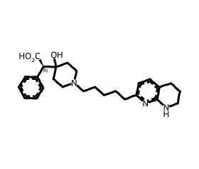 O=C(O)[C@H](c1ccccc1)C1(O)CCN(CCCCCc2ccc3c(n2)NCCC3)CC1